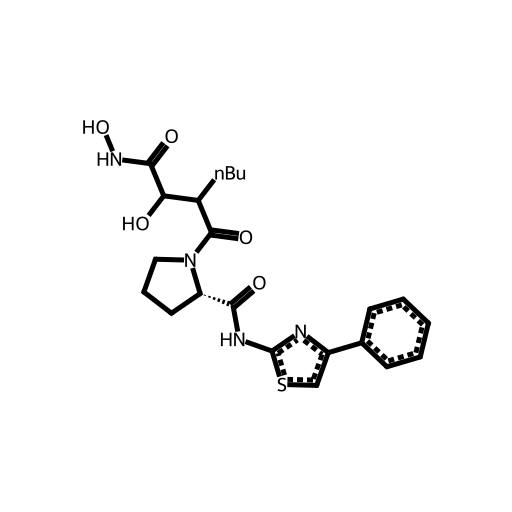 CCCCC(C(=O)N1CCC[C@H]1C(=O)Nc1nc(-c2ccccc2)cs1)C(O)C(=O)NO